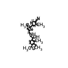 CCc1c(C(C)=O)ccc([C@@H](O)CNCc2cn(C)c(-c3cc(C)c(C#N)cn3)n2)c1C